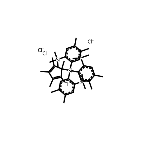 CC1=C(C)C(C)([Si](c2cc(C)c(C)cc2[Si](C)(C)C)(c2cc(C)c(C)cc2[Si](C)(C)C)c2cc(C)c(C)cc2[Si](C)(C)C)[C]([Ti+3])=C1C.[Cl-].[Cl-].[Cl-]